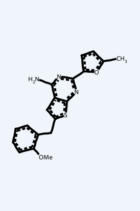 COc1ccccc1Cc1cc2c(N)nc(-c3ccc(C)o3)nc2s1